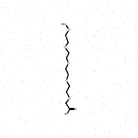 CCCCOCCOCCOCCOCCOCC(=O)C(C)C